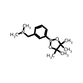 CN(C)Cc1cccc(B2OC(C)(C)C(C)(C)O2)c1